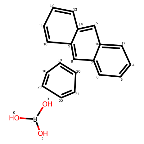 OB(O)O.c1ccc2cc3ccccc3cc2c1.c1ccccc1